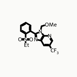 CCS(=O)(=O)c1ccccc1-c1nc2cc(C(F)(F)F)cnc2n1COC